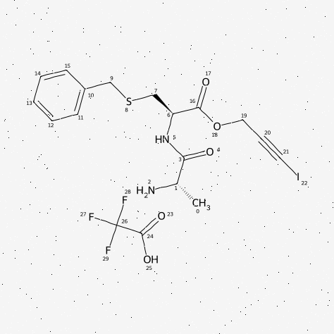 C[C@H](N)C(=O)N[C@@H](CSCc1ccccc1)C(=O)OCC#CI.O=C(O)C(F)(F)F